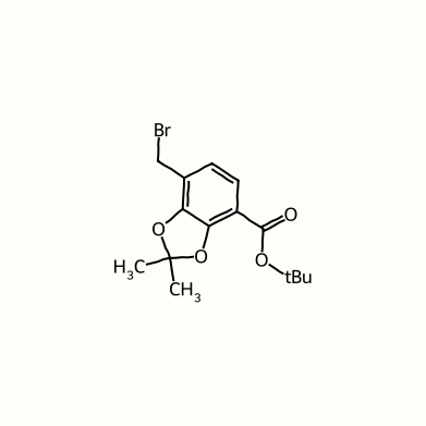 CC(C)(C)OC(=O)c1ccc(CBr)c2c1OC(C)(C)O2